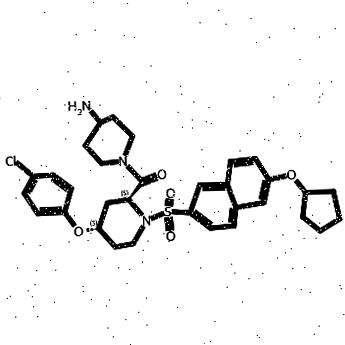 NC1CCN(C(=O)[C@@H]2C[C@@H](Oc3ccc(Cl)cc3)CCN2S(=O)(=O)c2ccc3cc(OC4CCCC4)ccc3c2)CC1